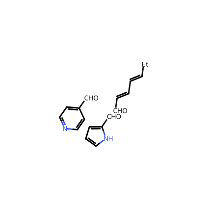 CCC=CC=CC=O.O=Cc1ccc[nH]1.O=Cc1ccncc1